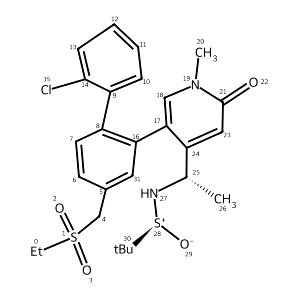 CCS(=O)(=O)Cc1ccc(-c2ccccc2Cl)c(-c2cn(C)c(=O)cc2[C@H](C)N[S@@+]([O-])C(C)(C)C)c1